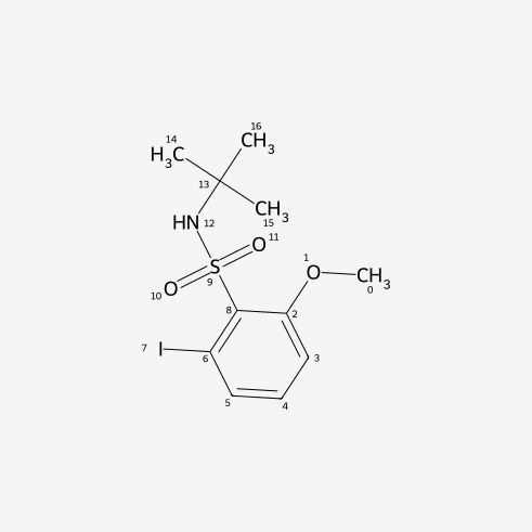 COc1cccc(I)c1S(=O)(=O)NC(C)(C)C